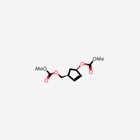 COC(=O)OC[C@@H]1C=C[C@H](OC(=O)OC)C1